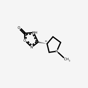 CN1CC[C@@H](c2noc(=O)[nH]2)C1